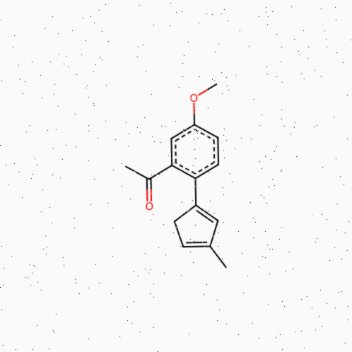 COc1ccc(C2=CC(C)=CC2)c(C(C)=O)c1